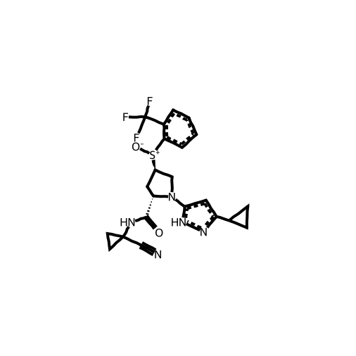 N#CC1(NC(=O)[C@@H]2C[C@@H]([S+]([O-])c3ccccc3C(F)(F)F)CN2c2cc(C3CC3)n[nH]2)CC1